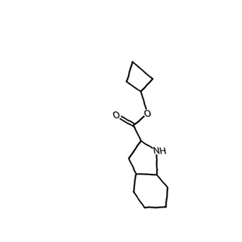 O=C(OC1CCC1)C1CC2CCCCC2N1